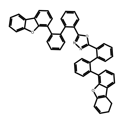 C1=Cc2oc3c(-c4ccccc4-c4ccccc4-c4nnc(-c5ccccc5-c5ccccc5-c5cccc6c5oc5ccccc56)o4)cccc3c2CC1